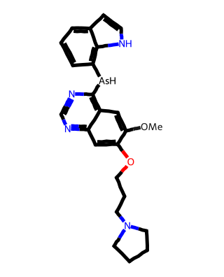 COc1cc2c([AsH]c3cccc4cc[nH]c34)ncnc2cc1OCCCN1CCCC1